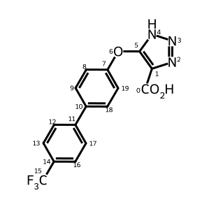 O=C(O)c1nn[nH]c1Oc1ccc(-c2ccc(C(F)(F)F)cc2)cc1